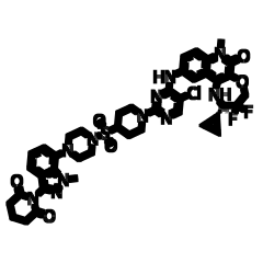 Cn1nc(N2C(=O)CCCC2=O)c2cccc(N3CCN(S(=O)(=O)C4CCN(c5ncc(Cl)c(Nc6ccc7c(c6)c6c(c(=O)n7C)OCC(F)(F)[C@H](C7CC7)N6)n5)CC4)CC3)c21